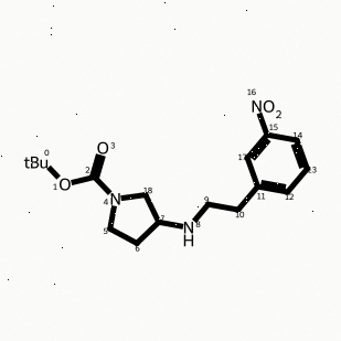 CC(C)(C)OC(=O)N1CCC(NCCc2cccc([N+](=O)[O-])c2)C1